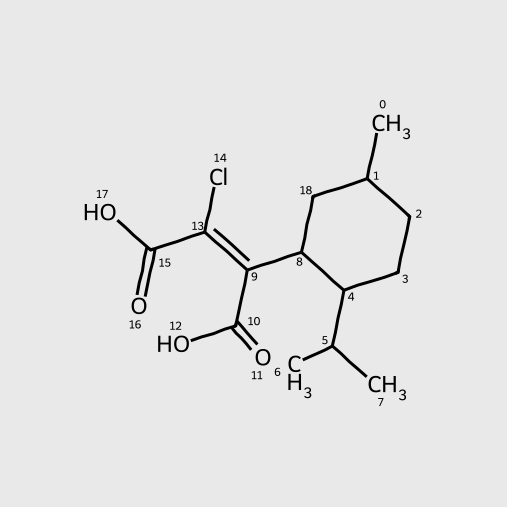 CC1CCC(C(C)C)C(C(C(=O)O)=C(Cl)C(=O)O)C1